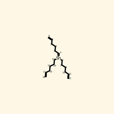 C=CCCC[CH2][SnH]([CH2]CCCC=C)[CH2]CCCC=C